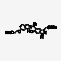 COCCOc1ccc2c(c1)CN(C(=O)c1cc3c(COC)n[nH]c3cc1O)C2